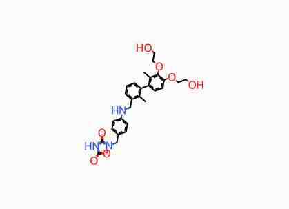 Cc1c(CNc2ccc(Cn3oc(=O)[nH]c3=O)cc2)cccc1-c1ccc(OCCO)c(OCCO)c1C